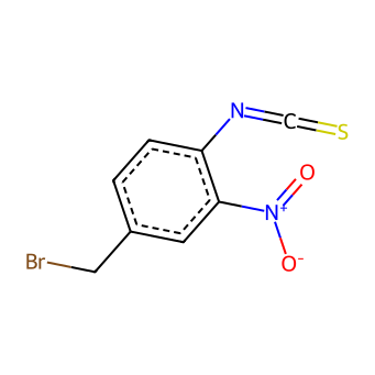 O=[N+]([O-])c1cc(CBr)ccc1N=C=S